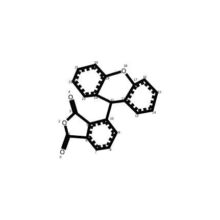 O=C1OC(=O)c2c1cccc2C1c2ccccc2Oc2ccccc21